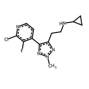 Cn1nc(CCNC2CC2)c(-c2ccnc(Cl)c2F)n1